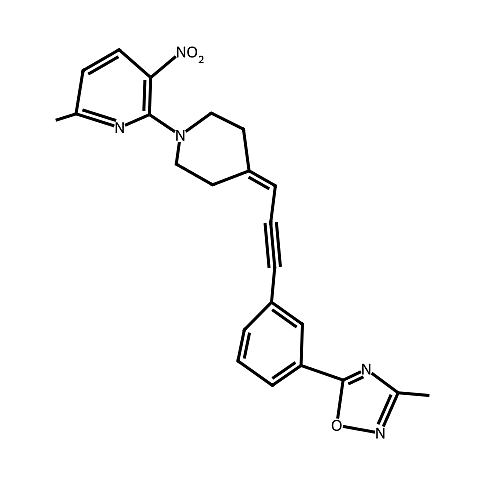 Cc1ccc([N+](=O)[O-])c(N2CCC(=CC#Cc3cccc(-c4nc(C)no4)c3)CC2)n1